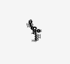 CC(C)c1nc2c(c(-c3ccc(F)cc3)c1/C=C/[C@@H](O)C[C@@H](O)CC(=O)O)CCCc1cc(NC(=O)NN3CCOCC3)ccc1-2